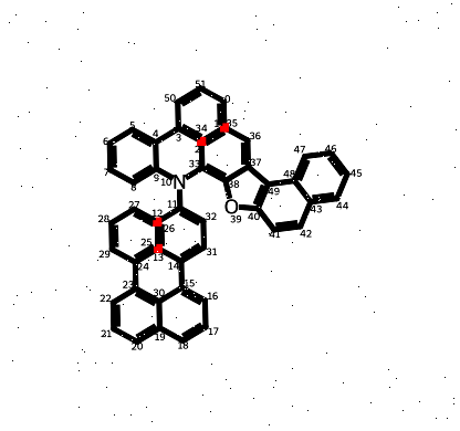 c1ccc(-c2ccccc2N(c2ccc(-c3cccc4cccc(-c5ccccc5)c34)cc2)c2cccc3c2oc2ccc4ccccc4c23)cc1